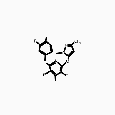 Cc1c(F)c(Oc2ccc(F)c(F)c2)nc(Oc2cc(C(F)(F)F)nn2C)c1F